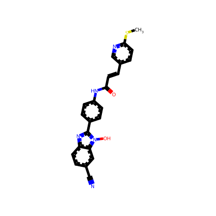 CSc1ccc(C=CC(=O)Nc2ccc(-c3nc4ccc(C#N)cc4n3O)cc2)cn1